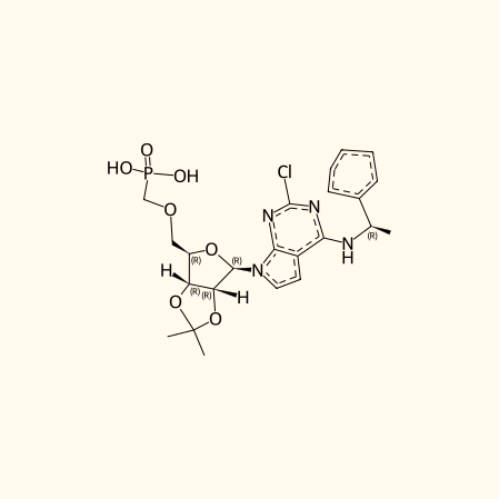 C[C@@H](Nc1nc(Cl)nc2c1ccn2[C@@H]1O[C@H](COCP(=O)(O)O)[C@H]2OC(C)(C)O[C@H]21)c1ccccc1